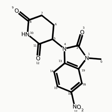 Cn1c(=O)n(C2CCC(=O)NC2=O)c2ccc([N+](=O)[O-])cc21